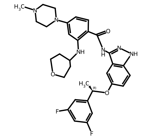 C[C@@H](Oc1ccc2[nH]nc(NC(=O)c3ccc(N4CCN(C)CC4)cc3NC3CCOCC3)c2c1)c1cc(F)cc(F)c1